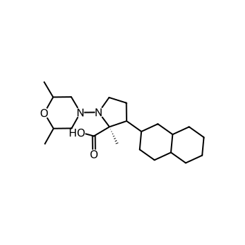 CC1CN(N2CCC(C3CCC4CCCCC4C3)[C@@]2(C)C(=O)O)CC(C)O1